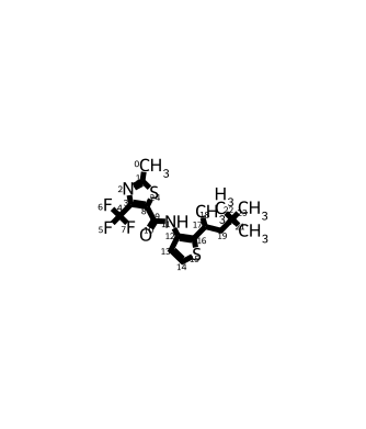 Cc1nc(C(F)(F)F)c(C(=O)Nc2ccsc2C(C)CC(C)(C)C)s1